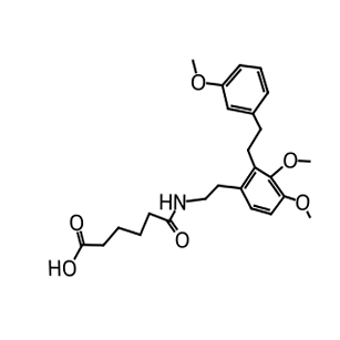 COc1cccc(CCc2c(CCNC(=O)CCCCC(=O)O)ccc(OC)c2OC)c1